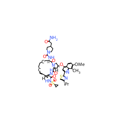 COc1ccc2c(O[C@@H]3C[C@H]4C(=O)N[C@]5(C(=O)NS(=O)(=O)C6CC6)C[C@H]5C=CCCCCC[C@H](NC(=O)N5CCC(CC(N)=O)CC5)C(=O)N4C3)cc(-c3nc(C(C)C)cs3)nc2c1C